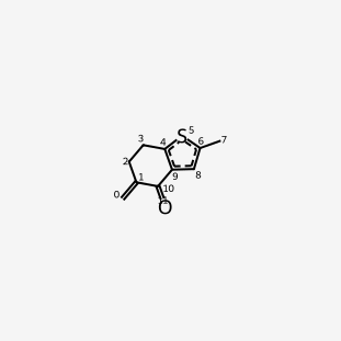 C=C1CCc2sc(C)cc2C1=O